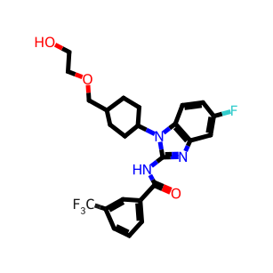 O=C(Nc1nc2cc(F)ccc2n1C1CCC(COCCO)CC1)c1cccc(C(F)(F)F)c1